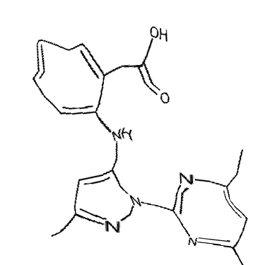 Cc1cc(C)nc(-n2nc(C)cc2Nc2ccccc2C(=O)O)n1